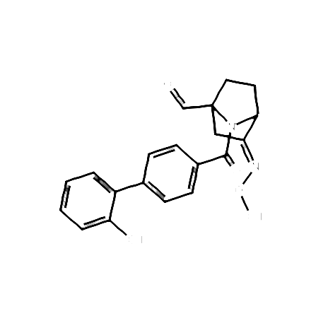 CO/N=C1\CC2(C=O)CCC1N2C(=O)c1ccc(-c2ccccc2C)cc1